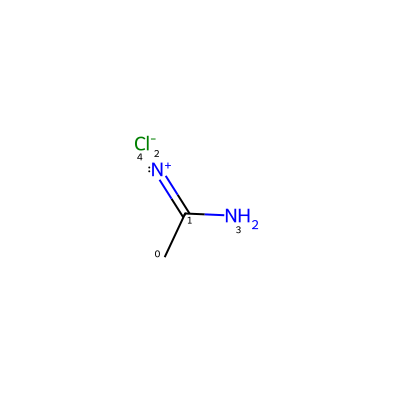 CC(=[N+])N.[Cl-]